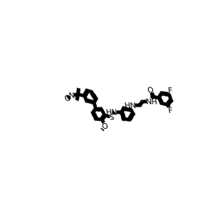 COc1ccc(-c2cccc(C(C)(C)N=O)c2)cc1SNc1cccc(NCCNC(=O)c2cc(F)cc(F)c2)c1